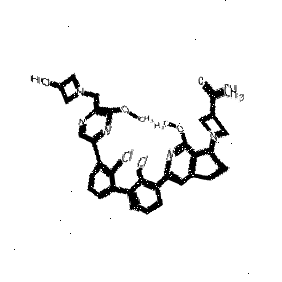 COc1nc(-c2cccc(-c3cccc(-c4cc5c(c(OC)n4)C(N4CC(C(C)=O)C4)CC5)c3Cl)c2Cl)cnc1CN1CC(O)C1